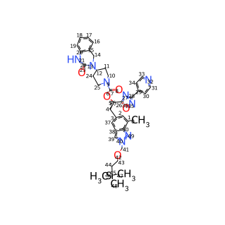 Cc1cc(C[C@@H](OC(=O)N2CCC(N3Cc4ccccc4NC3=O)CC2)c2nc(-c3ccncc3)no2)cc2cn(COCC[Si](C)(C)C)nc12